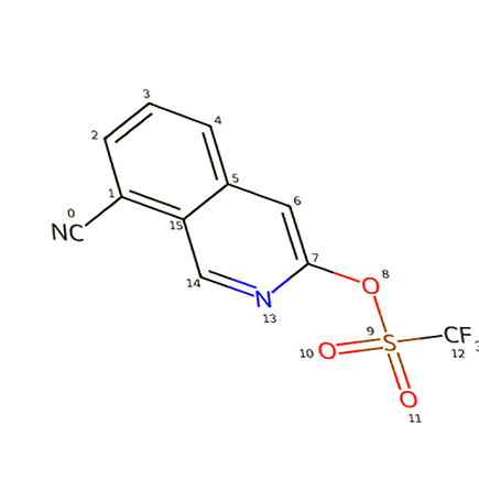 N#Cc1cccc2cc(OS(=O)(=O)C(F)(F)F)ncc12